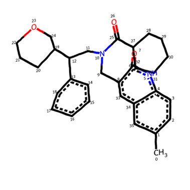 Cc1ccc2[nH]c(=O)c(CN(CC(c3ccccc3)C3CCCOC3)C(=O)C3CCCCC3)cc2c1